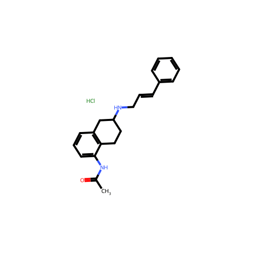 CC(=O)Nc1cccc2c1CCC(NCC=Cc1ccccc1)C2.Cl